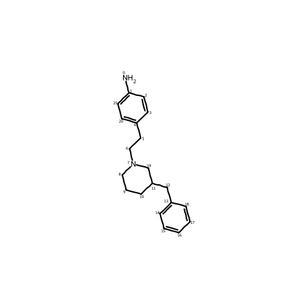 Nc1ccc(CCN2CCCC(Cc3ccccc3)C2)cc1